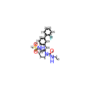 CCNC(=O)N1CCC[C@H](NS(C)(=O)=O)[C@H]1Cc1cccc(-c2ccccc2F)c1